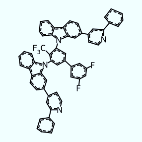 Fc1cc(F)cc(-c2cc(-n3c4ccccc4c4ccc(-c5ccnc(-c6ccccc6)c5)cc43)c(C(F)(F)F)c(-n3c4ccccc4c4ccc(-c5ccnc(-c6ccccc6)c5)cc43)c2)c1